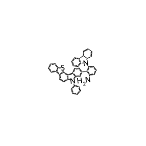 Nc1cccc(N2c3ccccc3C3C=CC=CC32)c1-c1ccc2c3c4sc5ccccc5c4ccc3n(-c3ccccc3)c2c1